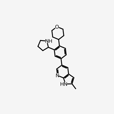 Cc1cc2cc(-c3ccc(C4CCOCC4)c(C4CCCN4)c3)cnc2[nH]1